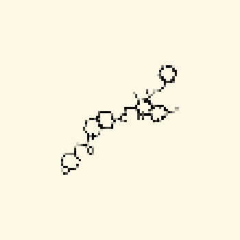 Cc1c(COc2ccc3c(c2)CN(C(=O)CC2CCOCC2)CC3)nc2ccc(F)cc2c1OCc1ccccc1